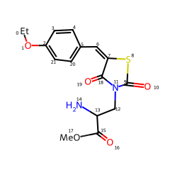 CCOc1ccc(C=C2SC(=O)N(CC(N)C(=O)OC)C2=O)cc1